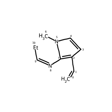 C=Cc1ccn(C)c1/N=C\CC